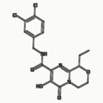 CCC1OCCn2c1nc(C(=O)NCc1ccc(Cl)c(Cl)c1)c(O)c2=O